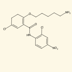 NCCCCCOC1=C(C(=O)Nc2ccc([N+](=O)[O-])cc2Cl)C=C(Cl)CC1